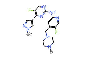 CCCn1cc(-c2nc(Nc3cc(CN4CCN(CC)CC4)c(F)cn3)ncc2F)cn1